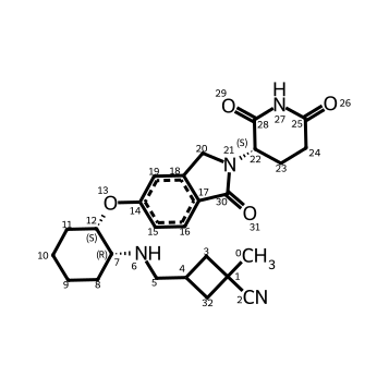 CC1(C#N)CC(CN[C@@H]2CCCC[C@@H]2Oc2ccc3c(c2)CN([C@H]2CCC(=O)NC2=O)C3=O)C1